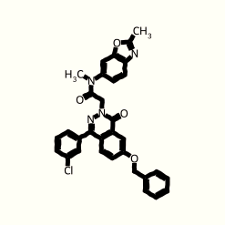 Cc1nc2ccc(N(C)C(=O)Cn3nc(-c4cccc(Cl)c4)c4ccc(OCc5ccccc5)cc4c3=O)cc2o1